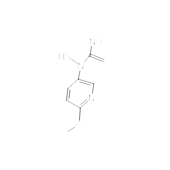 COc1ccc(N(S)C(N)=O)cn1